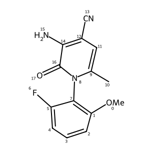 COc1cccc(F)c1-n1c(C)cc(C#N)c(N)c1=O